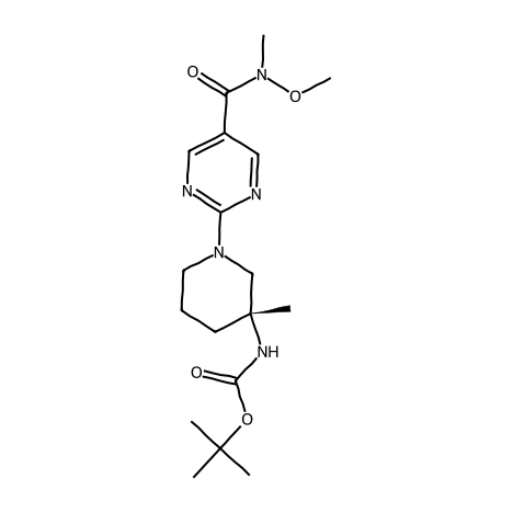 CON(C)C(=O)c1cnc(N2CCC[C@@](C)(NC(=O)OC(C)(C)C)C2)nc1